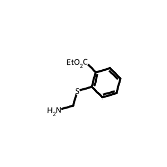 CCOC(=O)c1ccc[c]c1SCN